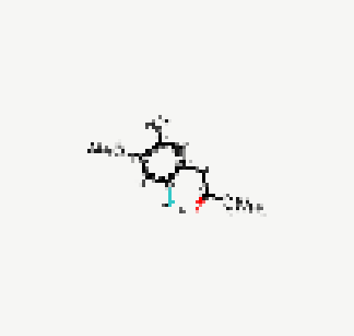 CCc1cc(CC(=O)OC)c(F)cc1OC